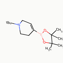 CC(C)(C)N1CC=C(B2OC(C)(C)C(C)(C)O2)CC1